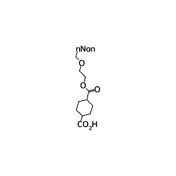 CCCCCCCCCCOCCOC(=O)C1CCC(C(=O)O)CC1